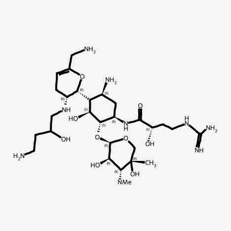 CN[C@@H]1[C@@H](O)[C@@H](O[C@H]2[C@H](NC(=O)[C@@H](O)CCNC(=N)N)C[C@H](N)C([C@H]3OC(CN)=CC[C@H]3NCC(O)CCN)[C@@H]2O)OC[C@]1(C)O